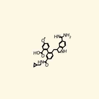 COc1ccc(-c2cc(C(=O)NCC3CC3)ccc2CC2CNc3ccc(C(=N)N)cc32)c(C(=O)O)c1